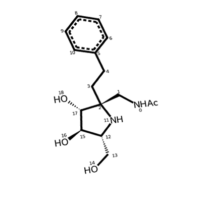 CC(=O)NC[C@@]1(CCc2ccccc2)N[C@H](CO)[C@@H](O)[C@@H]1O